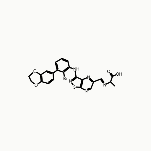 CC(N=Cc1cnc2snc(Nc3cccc(-c4ccc5c(c4)OCCO5)c3Br)c2n1)C(=O)O